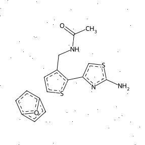 CC(=O)NCc1ccsc1-c1csc(N)n1.c1cc2ccc1o2